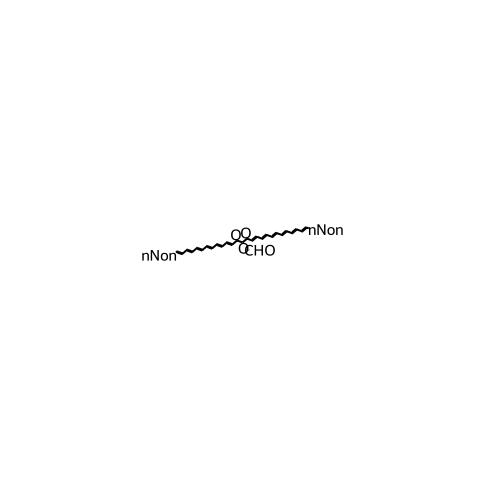 CCCCCCCCCC=CC=CC=CC=CC=CC=CC(=O)C(OC=O)C(=O)C=CC=CC=CC=CC=CC=CCCCCCCCCC